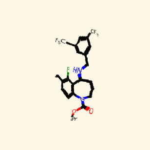 Cc1ccc2c(c1F)C(NCc1cc(C(F)(F)F)cc(C(F)(F)F)c1)CCCN2C(=O)OC(C)C